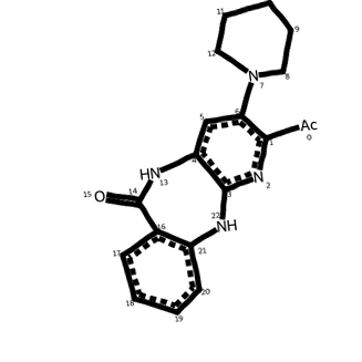 CC(=O)c1nc2c(cc1N1CCCCC1)NC(=O)c1ccccc1N2